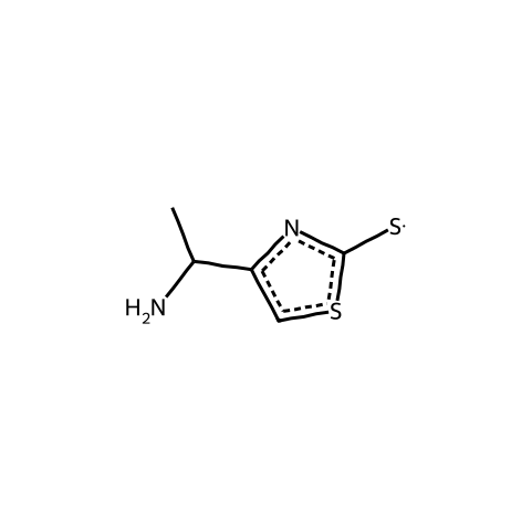 CC(N)c1csc([S])n1